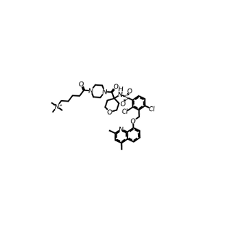 Cc1cc(C)c2cccc(OCc3c(Cl)ccc(S(=O)(=O)NC4(C(=O)N5CCN(C(=O)CCCC[N+](C)(C)C)CC5)CCOCC4)c3Cl)c2n1